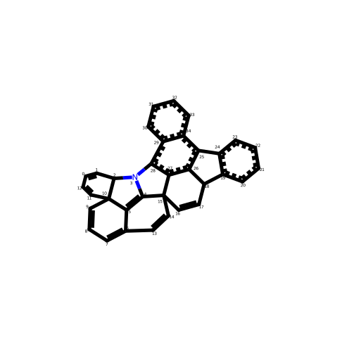 C1=CC2N3C4=C5C(=CC=CC52C=C1)C=CC41C=CC2c4ccccc4-c4c2c1c3c1ccccc41